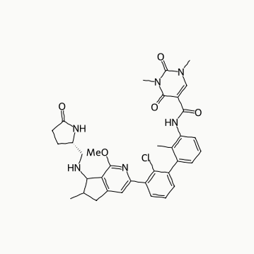 COc1nc(-c2cccc(-c3cccc(NC(=O)c4cn(C)c(=O)n(C)c4=O)c3C)c2Cl)cc2c1C(NC[C@@H]1CCC(=O)N1)C(C)C2